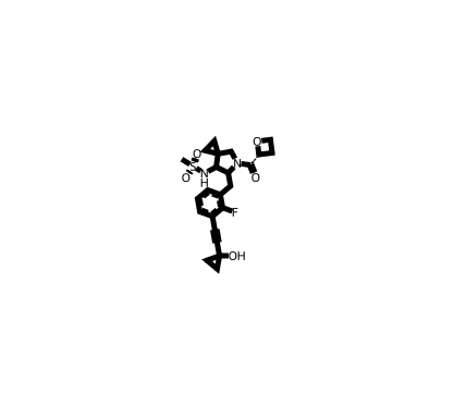 CS(=O)(=O)NC1C(Cc2cccc(C#CC3(O)CC3)c2F)N(C(=O)[C@H]2CCO2)CC12CC2